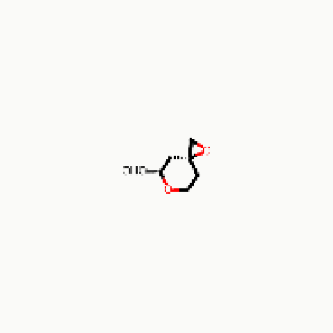 O=C[C@H]1C[C@]2(CCO1)CO2